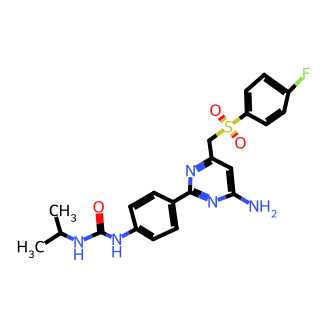 CC(C)NC(=O)Nc1ccc(-c2nc(N)cc(CS(=O)(=O)c3ccc(F)cc3)n2)cc1